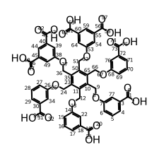 O=C(O)c1cccc(OCc2c(COc3cccc(C(=O)O)c3)c(COc3cccc(C(=O)O)c3)c(COc3cc(C(=O)O)cc(C(=O)O)c3)c(COc3cc(C(=O)O)cc(C(=O)O)c3)c2COc2cccc(C(=O)O)c2)c1